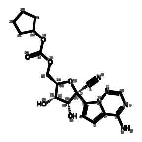 N#C[C@@]1(c2ccc3c(N)ncnn23)O[C@H](COC(=O)OC2CCCC2)[C@@H](O)[C@H]1O